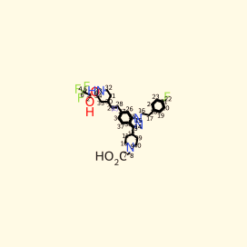 O=C(O)C(F)(F)F.O=C(O)CN1CCC(c2nn(CCc3ccc(F)cc3)c3cc(/C=C/C4CCNCC4)ccc23)CC1